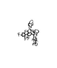 C=CC(=O)N1[C@H](C)CN(c2nc(=O)n3c4c(c(-c5ccc(F)cc5F)c(C(F)(F)F)cc24)SCC(N2CCOCC2)C3)C[C@@H]1C